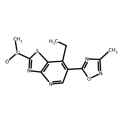 CCc1c(-c2nc(C)no2)cnc2nc([S+](C)[O-])sc12